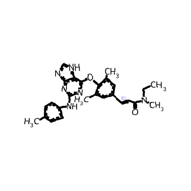 CCN(C)C(=O)/C=C/c1cc(C)c(Oc2nc(Nc3ccc(C)cc3)nc3nc[nH]c23)c(C)c1